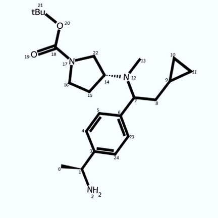 C[C@H](N)c1ccc(C(CC2CC2)N(C)[C@@H]2CCN(C(=O)OC(C)(C)C)C2)cc1